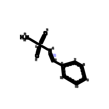 NS(=O)(=O)/N=C/c1ccccc1